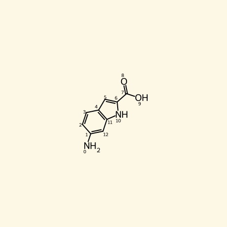 Nc1ccc2cc(C(=O)O)[nH]c2c1